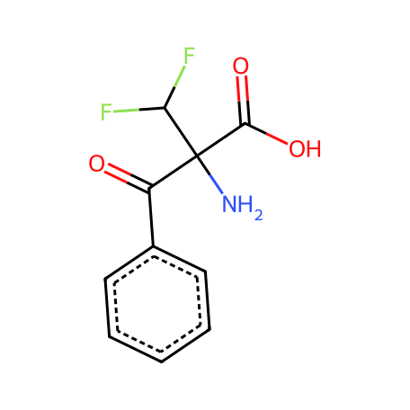 NC(C(=O)O)(C(=O)c1ccccc1)C(F)F